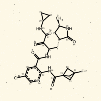 C[C@@H]1C[C@@H](CC(NC(=O)c2cc(Cl)cnc2NC(=O)C23CC(F)(C2)C3)C(=O)C(=O)NC2CC2)C(=O)N1